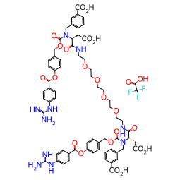 N=C(N)Nc1ccc(C(=O)Oc2ccc(COC(=O)N(Cc3cccc(C(=O)O)c3)[C@@H](CC(=O)O)C(=O)NCCOCCOCCOCCOCCNC(=O)[C@H](CC(=O)O)N(Cc3cccc(C(=O)O)c3)C(=O)OCc3ccc(OC(=O)c4ccc(NC(=N)N)cc4)cc3)cc2)cc1.O=C(O)C(F)(F)F